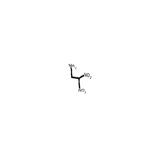 NCC([N+](=O)[O-])[N+](=O)[O-]